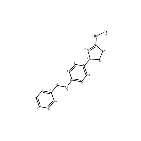 CCNC1=NN(c2ccc(OCc3ccccc3)cc2)CC1